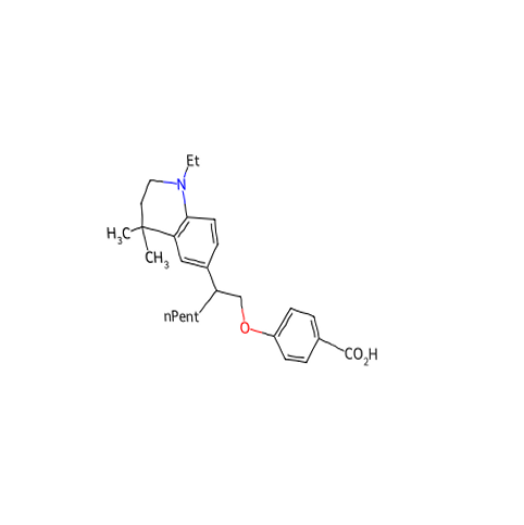 CCCCCC(COc1ccc(C(=O)O)cc1)c1ccc2c(c1)C(C)(C)CCN2CC